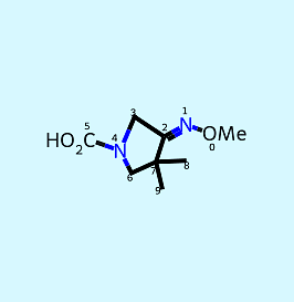 CON=C1CN(C(=O)O)CC1(C)C